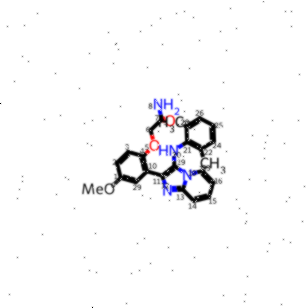 COc1ccc(OCC(N)=O)c(-c2nc3ccccn3c2Nc2c(C)cccc2C)c1